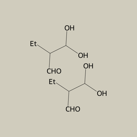 CCC(C=O)C(O)O.CCC(C=O)C(O)O